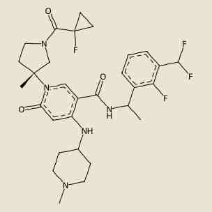 CC(NC(=O)c1cn([C@]2(C)CCN(C(=O)C3(F)CC3)C2)c(=O)cc1NC1CCN(C)CC1)c1cccc(C(F)F)c1F